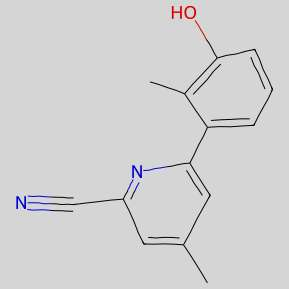 Cc1cc(C#N)nc(-c2cccc(O)c2C)c1